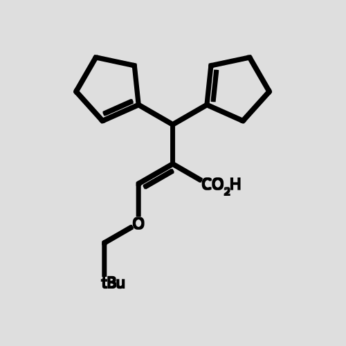 CC(C)(C)COC=C(C(=O)O)C(C1=CCCC1)C1=CCCC1